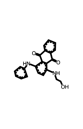 O=C1c2ccccc2C(=O)c2c(Nc3ccccc3)ccc(NCCO)c21